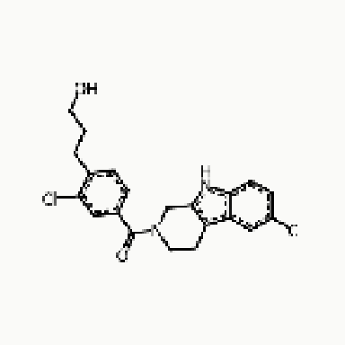 O=C(c1ccc(CCCO)c(Cl)c1)N1CCc2c([nH]c3ccc(Cl)cc23)C1